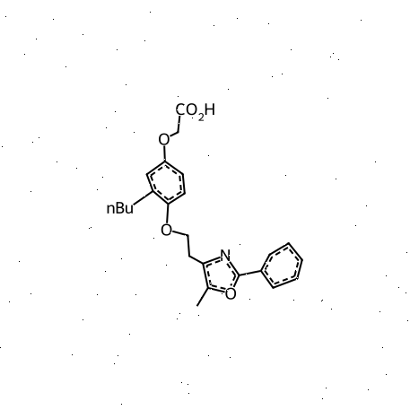 CCCCc1cc(OCC(=O)O)ccc1OCCc1nc(-c2ccccc2)oc1C